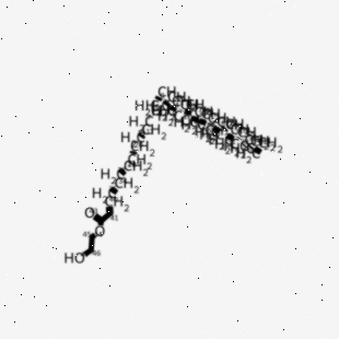 C=C.C=C.C=C.C=C.C=C.C=C.C=C.C=C.C=C.C=C.C=C.C=C.C=C.C=C.C=C.C=C.C=C.C=C.C=C.C=C.C=CC(=O)OCCO